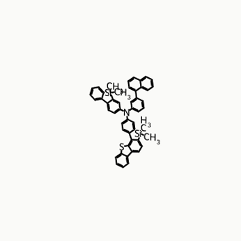 C[Si]1(C)c2ccccc2-c2ccc(N(c3cccc(-c4cccc5ccccc45)c3)c3ccc4c(c3)[Si](C)(C)c3ccc5c(sc6ccccc65)c3-4)cc21